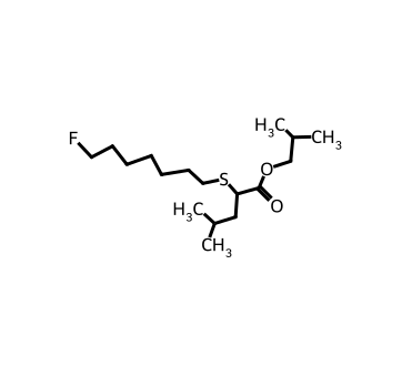 CC(C)COC(=O)C(CC(C)C)SCCCCCCCF